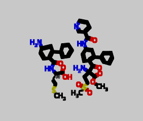 COC(=O)C(N)(CCS(C)(=O)=O)C(=O)c1ccc(NC(=O)c2cccnc2)cc1-c1ccccc1.CSCC[C@H](NC(=O)c1ccc(N)cc1-c1ccccc1)C(=O)O